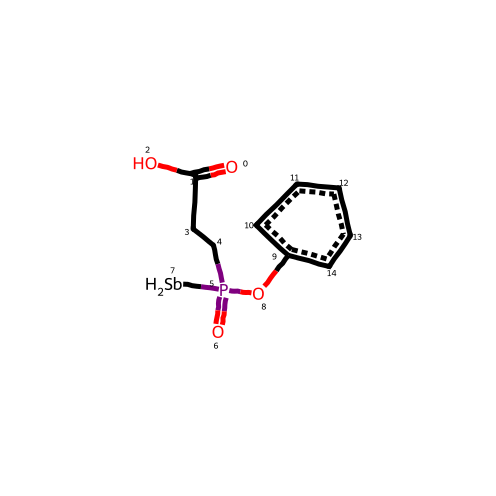 O=C(O)CC[P](=O)([SbH2])Oc1ccccc1